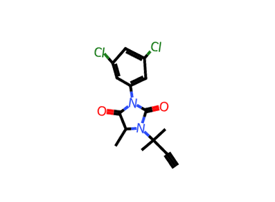 C#CC(C)(C)N1C(=O)N(c2cc(Cl)cc(Cl)c2)C(=O)C1C